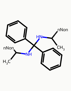 CCCCCCCCCC(C)NC(NC(C)CCCCCCCCC)(c1ccccc1)c1ccccc1